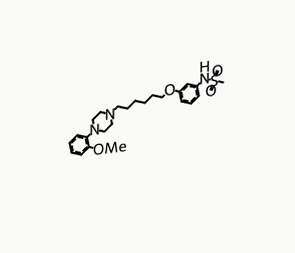 COc1ccccc1N1CCN(CCCCCCOc2cccc(NS(C)(=O)=O)c2)CC1